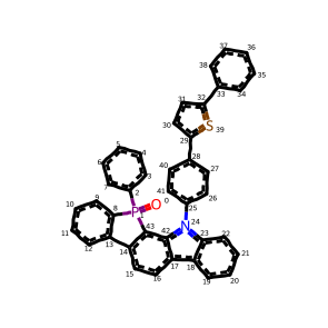 O=P1(c2ccccc2)c2ccccc2-c2ccc3c4ccccc4n(-c4ccc(-c5ccc(-c6ccccc6)s5)cc4)c3c21